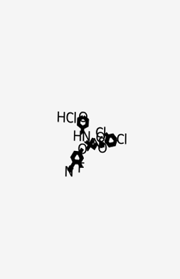 Cl.N#Cc1ccc(OCC2(CNCC3CCOCC3)CN(S(=O)(=O)c3ccc(Cl)cc3Cl)C2)cc1F